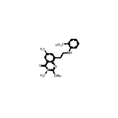 Cc1cc(CCNc2ccccc2C(=O)O)c2nc(OCC(C)C)n(C)c(=O)c2c1